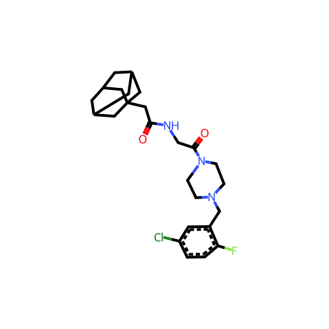 O=C(CC12CC3CC(CC(C3)C1)C2)NCC(=O)N1CCN(Cc2cc(Cl)ccc2F)CC1